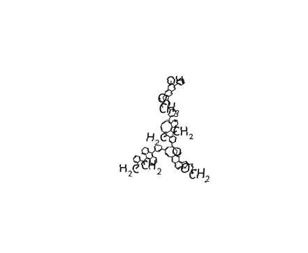 C=C/C=C\c1cc2c(ccc3cc4ccc(-c5cccc(-c6c7c(c(C(=C)c8ccccc8C=C)c8ccccc68)=CCCC=7)c5)cc(-c5ccc(C(=C)c6ccccccc(-c7cccc(C/C=c8\c(=C/C)oc9cc%10cc(O)c(-c%11ccccc%11)cc%10cc89)c7)c7ccccc67)c(C=C)c5)coc4cc32)o1